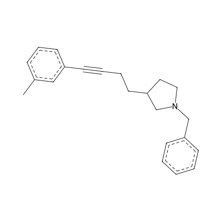 Cc1cccc(C#CCCC2CCN(Cc3ccccc3)C2)c1